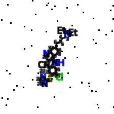 CCN(CC)CCC=Cc1ccc2c(Nc3ccc(Sc4nccn4C)c(Cl)c3)c(C#N)cnc2c1